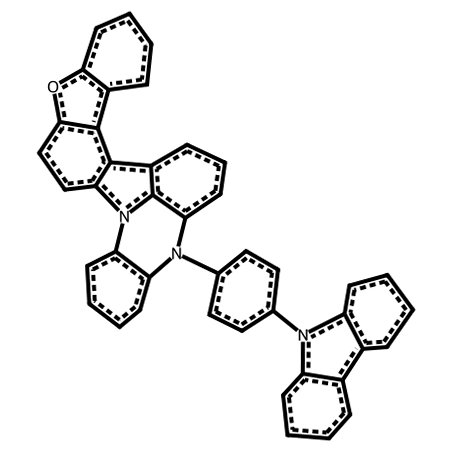 c1ccc2c(c1)N(c1ccc(-n3c4ccccc4c4ccccc43)cc1)c1cccc3c4c5c(ccc4n-2c13)oc1ccccc15